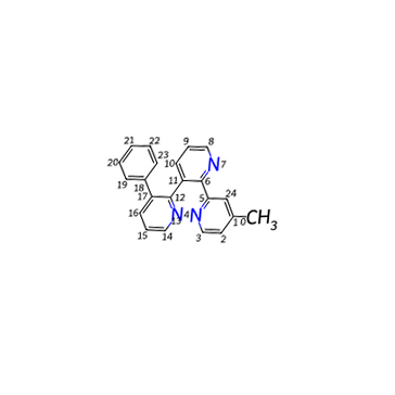 Cc1ccnc(-c2ncccc2-c2ncccc2-c2ccccc2)c1